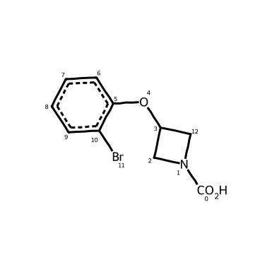 O=C(O)N1CC(Oc2ccccc2Br)C1